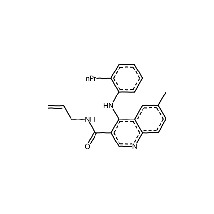 C=CCNC(=O)c1cnc2ccc(C)cc2c1Nc1ccccc1CCC